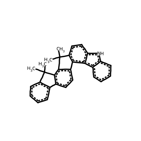 CC1(C)c2ccccc2-c2ccc3c(c21)C(C)(C)c1ccc2[nH]c4ccccc4c2c1-3